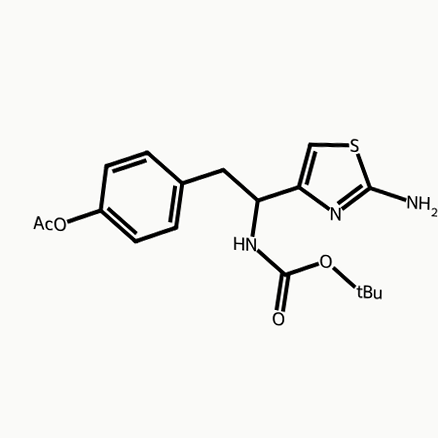 CC(=O)Oc1ccc(CC(NC(=O)OC(C)(C)C)c2csc(N)n2)cc1